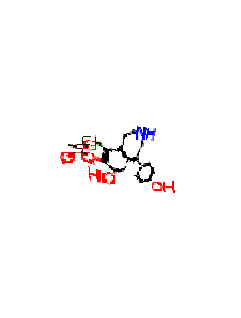 CS(=O)(=O)Oc1c(O)cc2c(c1Cl)CCNC[C@@H]2c1ccc(O)cc1